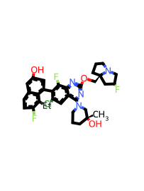 CCc1c(F)ccc2cc(O)cc(-c3c(Cl)cc4c(N5CCC[C@@](C)(O)C5)nc(OC[C@@]56CCCN5CC(F)C6)nc4c3F)c12